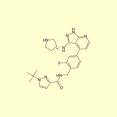 CC(C)(C)n1ccc(C(=O)NCc2ccc(-c3ccnc4[nH]nc(N[C@@H]5CCNC5)c34)cc2F)n1